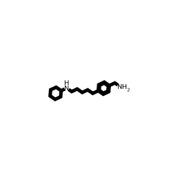 NCc1ccc(CCCCCNC2CCCCC2)cc1